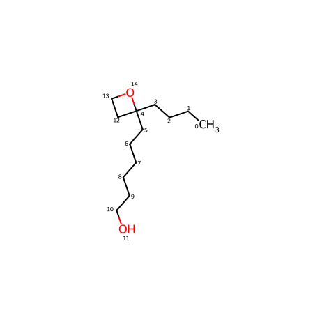 CCCCC1(CCCCCCO)CCO1